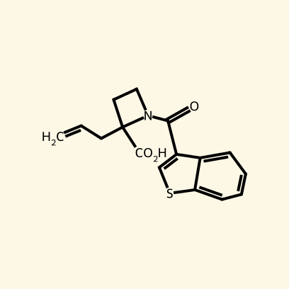 C=CCC1(C(=O)O)CCN1C(=O)c1csc2ccccc12